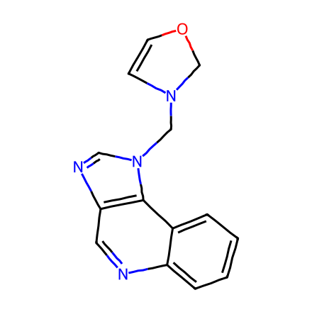 C1=CN(Cn2cnc3cnc4ccccc4c32)CO1